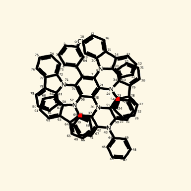 N#Cc1cccc(-c2c(-n3c4ccccc4c4ccccc43)c(-n3c4ccccc4c4ccccc43)c(N3c4ccccc4N(c4ccccc4)c4ccccc43)c(-n3c4ccccc4c4ccccc43)c2-n2c3ccccc3c3ccccc32)c1